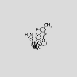 Cc1cc(F)c(-c2nc(C(N)=O)c(-c3cccnc3)c(C3(C)OCCCC3C)c2F)c(F)c1